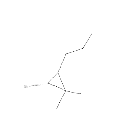 CCCC1[C@@H](C)C1(C)C